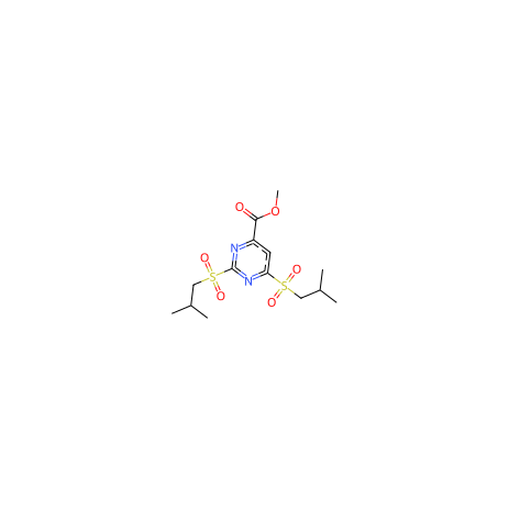 COC(=O)c1cc(S(=O)(=O)CC(C)C)nc(S(=O)(=O)CC(C)C)n1